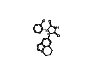 O=C1NC(=O)[C@@H](c2ccccc2Cl)[C@@H]1c1cc2c3c(ccn3CCC2)c1